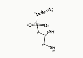 [N-]=[N+]=NS(=O)(=O)CC(S)CS